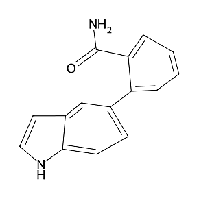 NC(=O)c1ccccc1-c1ccc2[nH]ccc2c1